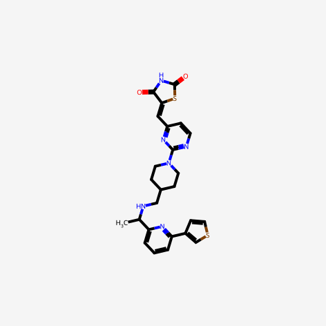 CC(NCC1CCN(c2nccc(/C=C3\SC(=O)NC3=O)n2)CC1)c1cccc(-c2ccsc2)n1